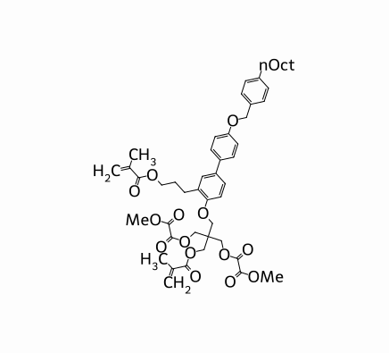 C=C(C)C(=O)OCCCc1cc(-c2ccc(OCc3ccc(CCCCCCCC)cc3)cc2)ccc1OCC(COC(=O)C(=C)C)(COC(=O)C(=O)OC)COC(=O)C(=O)OC